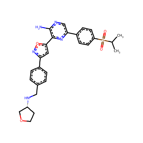 CC(C)S(=O)(=O)c1ccc(-c2cnc(N)c(-c3cc(-c4ccc(CN[C@@H]5CCOC5)cc4)no3)n2)cc1